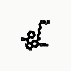 CCN(c1ccccc1)c1ncnc2cc(OC)c(OCCCCCC(=O)O)cc12